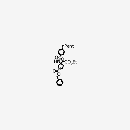 CCCCCc1ccc(S(=O)(=O)NC2(CC(=O)OCC)CCN(C(=O)OCc3ccccc3)C2)cc1